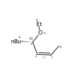 C/C=C\[C@H](CCCC)OCC